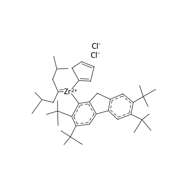 CC(C)C[C](CC(C)C)=[Zr+2]([C]1=CC=CC1)[c]1c2c(cc(C(C)(C)C)c1C(C)(C)C)-c1cc(C(C)(C)C)c(C(C)(C)C)cc1C2.[Cl-].[Cl-]